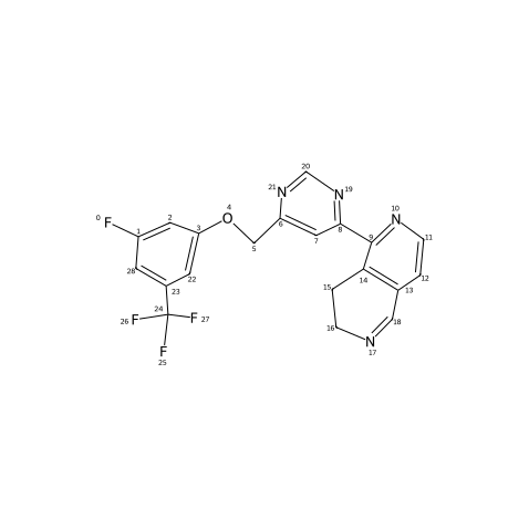 Fc1cc(OCc2cc(-c3nccc4c3CCN=C4)ncn2)cc(C(F)(F)F)c1